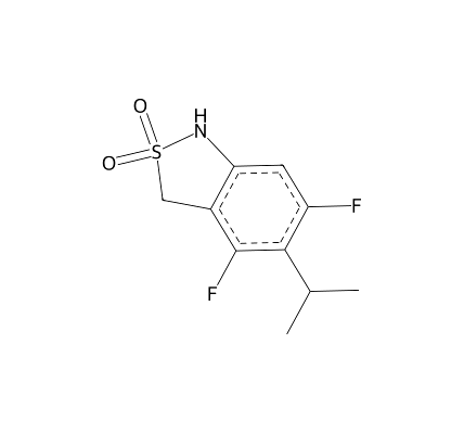 CC(C)c1c(F)cc2c(c1F)CS(=O)(=O)N2